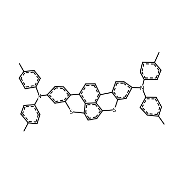 Cc1ccc(N(c2ccc(C)cc2)c2ccc3c(c2)Sc2ccc4c5c(ccc-3c25)-c2ccc(N(c3ccc(C)cc3)c3ccc(C)cc3)cc2S4)cc1